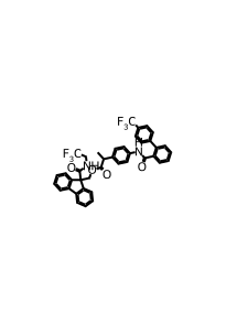 CC(C(=O)OCC1(C(=O)NCC(F)(F)F)c2ccccc2-c2ccccc21)c1ccc(NC(=O)c2ccccc2-c2ccc(C(F)(F)F)cc2)cc1